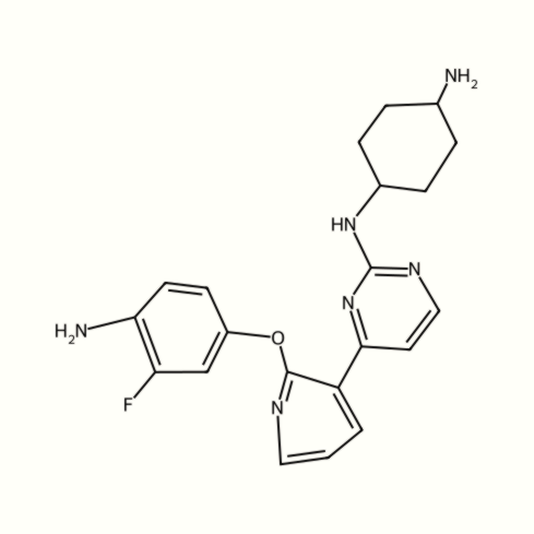 Nc1ccc(Oc2ncccc2-c2ccnc(NC3CCC(N)CC3)n2)cc1F